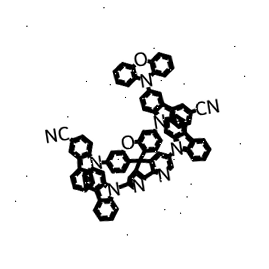 N#Cc1ccc2c(c1)c1ccccc1n2-c1ccc2c(c1)Oc1cc(-n3c4ccc(C#N)cc4c4cc(N5c6ccccc6Oc6ccccc65)ccc43)ccc1C21c2cc(-n3c4ccccc4c4ccccc43)cnc2-c2ncc(-n3c4ccccc4c4ccccc43)cc21